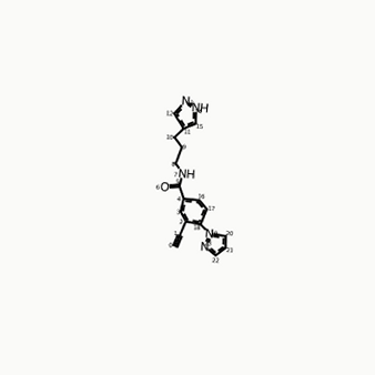 C#Cc1cc(C(=O)NCCCc2cn[nH]c2)ccc1-n1cccn1